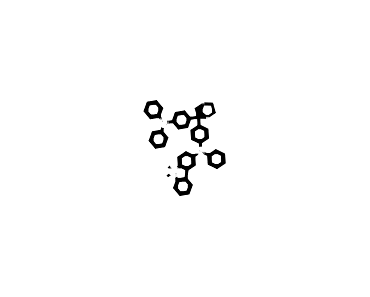 C[Si]1(C)c2ccccc2-c2cc(N(c3ccccc3)c3ccc(C4(c5ccc(N(c6ccccc6)c6ccccc6)cc5)CC5CCC4C5)cc3)ccc21